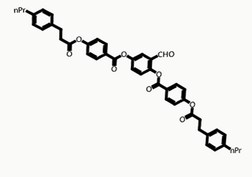 CCCc1ccc(CCC(=O)Oc2ccc(C(=O)Oc3ccc(OC(=O)c4ccc(OC(=O)CCc5ccc(CCC)cc5)cc4)c(C=O)c3)cc2)cc1